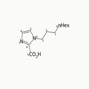 CCCCCCCCCn1ccnc1C(=O)O